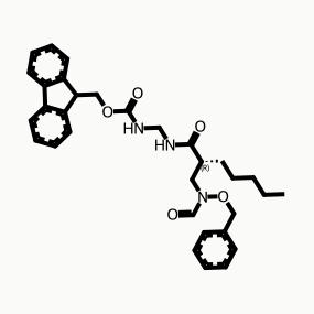 CCCCC[C@H](CN(C=O)OCc1ccccc1)C(=O)NCNC(=O)OCC1c2ccccc2-c2ccccc21